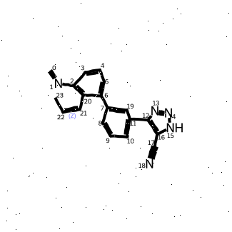 C=Nc1cccc(-c2cccc(-c3nn[nH]c3C#N)c2)c1/C=C\C